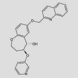 O[C@H]1c2cc(OCc3ccc4ccccc4n3)ccc2OCC[C@@H]1Oc1cccnc1